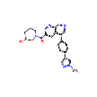 Cn1cc(-c2ccc(-c3cncc4ncc(C(=O)N5CCCC(O)C5)cc34)cc2)cn1